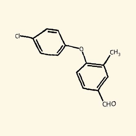 Cc1cc(C=O)ccc1Oc1ccc(Cl)cc1